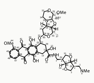 CNC[C@H]1CO[C@@H]2[C@@H](CNC(=O)[C@]3(O)Cc4c(O)c5c(c(O)c4[C@@H](O[C@H]4C[C@H]6[C@H](O[C@@H]7[C@@H](OC)OCCN76)[C@H](C)O4)C3)C(=O)c3c(OC)cccc3C5=O)CO[C@H]12